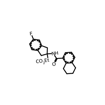 CCOC(=O)C1(NC(=O)c2cccc3c2CCCC3)Cc2ccc(F)cc2C1